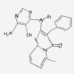 CCN(c1ncnc(N)c1C#N)c1nc2cccc(C)n2c(=O)c1-c1ccccc1